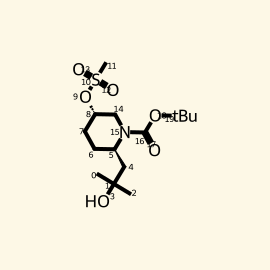 CC(C)(O)C[C@H]1CC[C@H](OS(C)(=O)=O)CN1C(=O)OC(C)(C)C